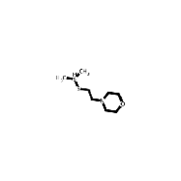 C[SH](C)SCCN1CCOCC1